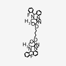 C[C@@H]1N=C(c2ccccc2F)c2ccccc2-n2cnc(C(=O)OCCCCCOC(=O)c3ncn4c3[C@H](C)N=C(c3ccccc3F)c3ccccc3-4)c21